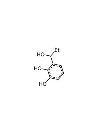 CCC(O)c1cccc(O)c1O